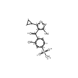 CC(=O)c1noc(C2CC2)c1C(=O)c1ccc(S(C)(=O)=O)cc1Cl